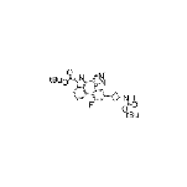 Cn1cc(-c2nn(C(=O)OC(C)(C)C)c3cncc(-c4c(F)cc(C5CC(NC(=O)OC(C)(C)C)C5)cc4F)c23)cn1